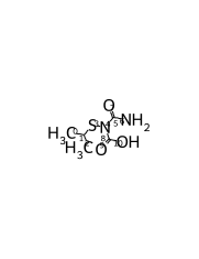 CC(C)SN(C(N)=O)C(=O)O